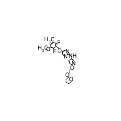 COc1cc(C)c(F)c(COc2cnc(Nc3ccc(OCCOC4CCCCO4)nc3)nc2)c1F